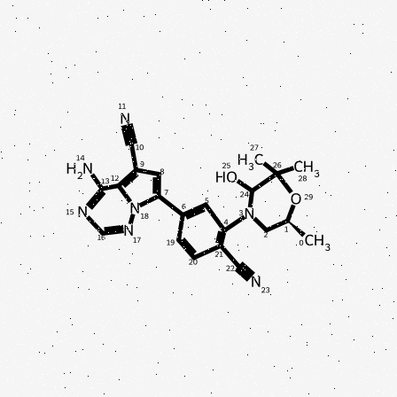 C[C@H]1CN(c2cc(-c3cc(C#N)c4c(N)ncnn34)ccc2C#N)C(O)C(C)(C)O1